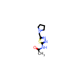 CC(=O)Nc1nnc(CN2CCCC2)s1